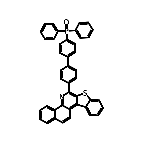 O=P(c1ccccc1)(c1ccccc1)c1ccc(-c2ccc(-c3nc4c5ccccc5ccc4c4c3sc3ccccc34)cc2)cc1